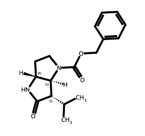 CC(C)[C@@H]1C(=O)N[C@@H]2CCN(C(=O)OCc3ccccc3)[C@H]21